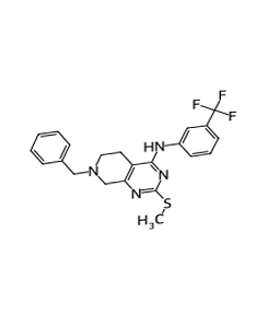 CSc1nc2c(c(Nc3cccc(C(F)(F)F)c3)n1)CCN(Cc1ccccc1)C2